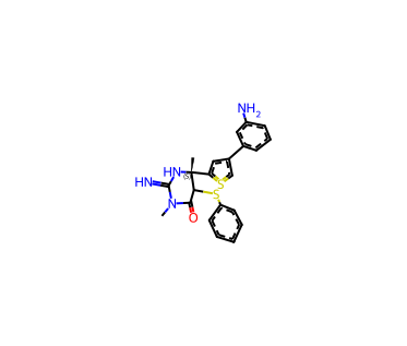 CN1C(=N)N[C@](C)(c2cc(-c3cccc(N)c3)cs2)C(Sc2ccccc2)C1=O